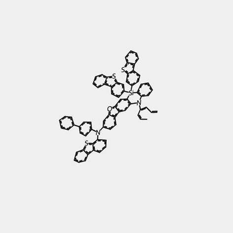 C=C/C=C(\C=C/C)N1c2ccccc2[Si](c2ccc3c(c2)sc2ccccc23)(c2ccc3c(c2)sc2ccccc23)c2cc3oc4cc(N(c5ccc(-c6ccccc6)cc5)c5cccc6c5sc5ccccc56)ccc4c3cc21